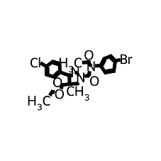 CCOC(=O)C1(C)CN(C(=O)N(C(C)=O)c2ccc(Br)cc2)N=C1c1ccc(Cl)cc1